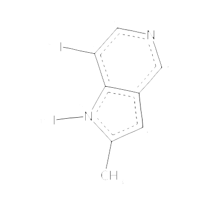 Cc1cc2cncc(I)c2n1I